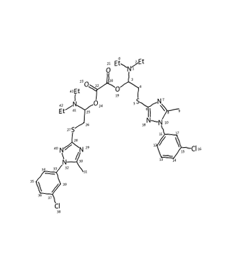 CCN(CC)C(CSc1nc(C)n(-c2cccc(Cl)c2)n1)OC(=O)C(=O)OC(CSc1nc(C)n(-c2cccc(Cl)c2)n1)N(CC)CC